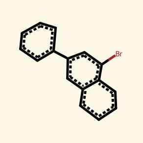 Brc1cc(-c2ccccc2)cc2ccccc12